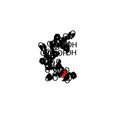 COc1cc(CC(NC(=O)C(C)NC(=O)CN2CCOCC2)C(=O)NC(Cc2ccccc2)C(=O)C2(C)CO2)cc(OCCC2(C(=O)C(Cc3ccccc3)NC(=O)C(Cc3cc(O)cc(OCCC4(C(=O)C(Cc5ccccc5)NC(=O)C(Cc5cc(O)cc(O)c5)NC(=O)C(C)NC(=O)CN5CCOCC5)CO4)c3)NC(=O)C(C)NC(=O)CN3CCOCC3)CO2)c1